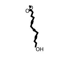 COC(=O)CCCC#CCC#CCC#CCCCO